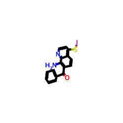 Nc1c(C(=O)c2ccccc2)ccc2c(SI)ccnc12